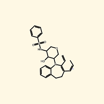 C=CC1=C(/C=C\C)CCc2ccccc2N1C1COCC(NS(=O)(=O)c2ccccc2)C1O